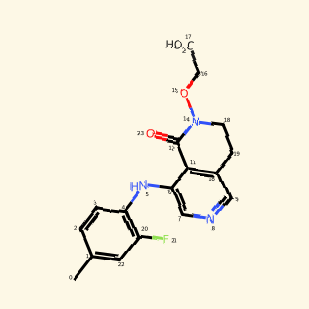 Cc1ccc(Nc2cncc3c2C(=O)N(OCC(=O)O)CC3)c(F)c1